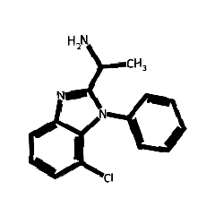 CC(N)c1nc2cccc(Cl)c2n1-c1ccccc1